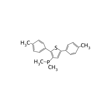 Cc1ccc(-c2cc(P(C)C)c(-c3ccc(C)cc3)s2)cc1